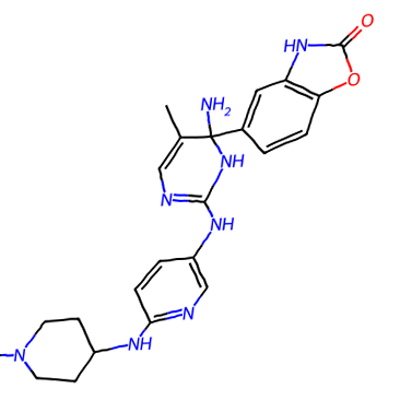 CC1=CN=C(Nc2ccc(NC3CCN(C)CC3)nc2)NC1(N)c1ccc2oc(=O)[nH]c2c1